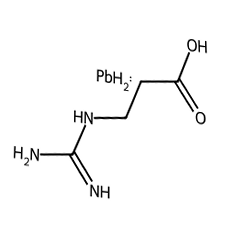 N=C(N)NCCC(=O)O.[PbH2]